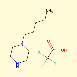 CCCCCN1CCNCC1.O=C(O)C(F)(F)F